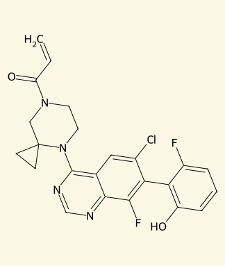 C=CC(=O)N1CCN(c2ncnc3c(F)c(-c4c(O)cccc4F)c(Cl)cc23)C2(CC2)C1